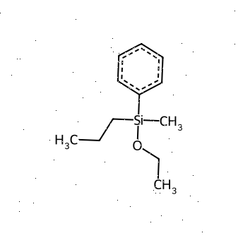 CCC[Si](C)(OCC)c1ccccc1